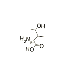 CC(O)C(C)[C@@H](N)C(=O)O